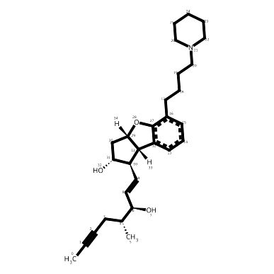 CC#CC[C@@H](C)[C@H](O)/C=C/[C@@H]1[C@H]2c3cccc(CCCCN4CCCCC4)c3O[C@H]2C[C@H]1O